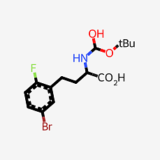 CC(C)(C)OC(O)NC(CCc1cc(Br)ccc1F)C(=O)O